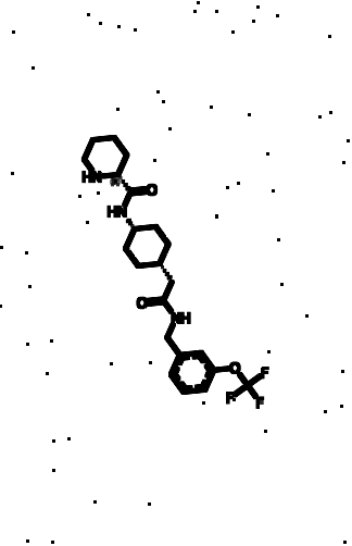 O=C(C[C@H]1CC[C@@H](NC(=O)[C@H]2CCCCN2)CC1)NCc1cccc(OC(F)(F)F)c1